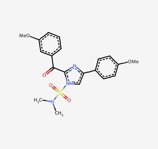 COc1ccc(-c2cn(S(=O)(=O)N(C)C)c(C(=O)c3cccc(OC)c3)n2)cc1